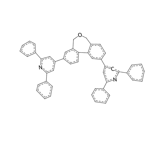 c1ccc(-c2cc(-c3ccc4c(c3)COCc3ccc(-c5cc(-c6ccccc6)nc(-c6ccccc6)c5)cc3-4)cc(-c3ccccc3)n2)cc1